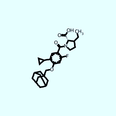 CCC1CCN(C(=O)c2cc(C3CC3)c(OCC34CC5CC(CC(C5)C3)C4)cc2F)[C@@H]1C(=O)O